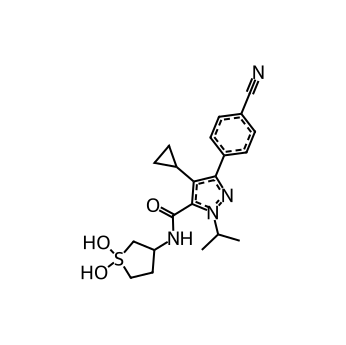 CC(C)n1nc(-c2ccc(C#N)cc2)c(C2CC2)c1C(=O)NC1CCS(O)(O)C1